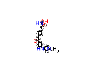 CN1CCC(Nc2ccc(C(=O)/C=C/c3ccc(/C=C/C(=O)NO)cc3)cc2)CC1